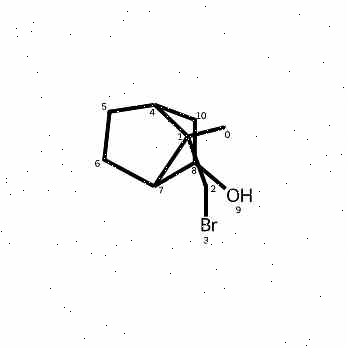 CC1(CBr)C2CCC1C(O)C2